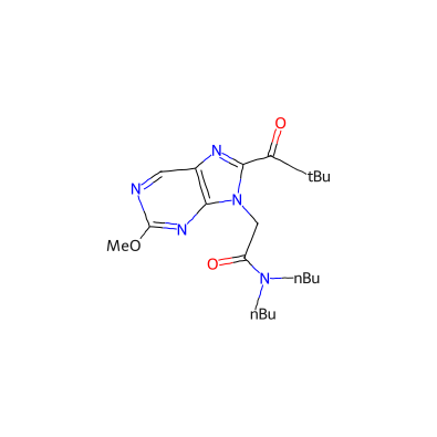 CCCCN(CCCC)C(=O)Cn1c(C(=O)C(C)(C)C)nc2cnc(OC)nc21